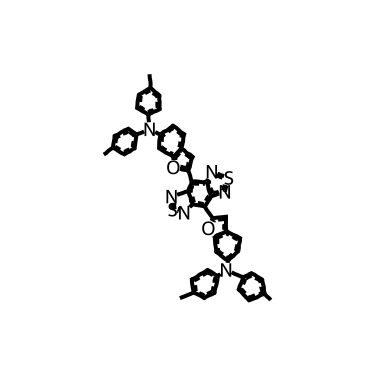 Cc1ccc(N(c2ccc(C)cc2)c2ccc3cc(-c4c5c(c(-c6cc7ccc(N(c8ccc(C)cc8)c8ccc(C)cc8)cc7o6)c6nsnc46)N=S=N5)oc3c2)cc1